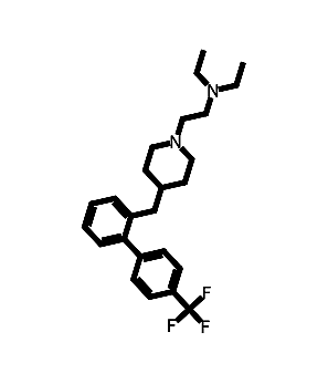 CCN(CC)CCN1CCC(Cc2ccccc2-c2ccc(C(F)(F)F)cc2)CC1